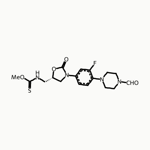 COC(=S)NC[C@H]1CN(c2ccc(N3CCN(C=O)CC3)c(F)c2)C(=O)O1